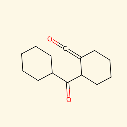 O=C=C1CCCCC1C(=O)C1CCCCC1